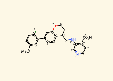 COc1ccc(Cl)c(-c2ccc3c(c2)OCCC3CNc2cnccc2C(=O)O)c1